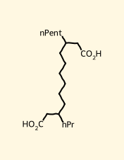 CCCCCC(CCCCCCC(CCC)CC(=O)O)CC(=O)O